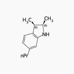 CCCc1ccc2c(c1)N[C@H](C)[C@@H]2C